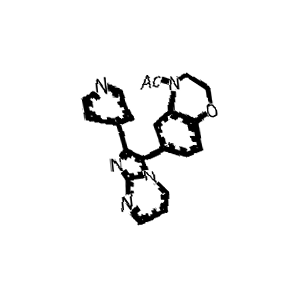 CC(=O)N1CCOc2ccc(-c3c(-c4ccncc4)nc4ncccn34)cc21